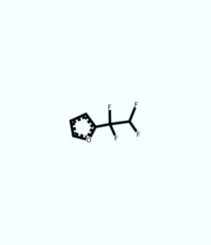 FC(F)C(F)(F)c1ccco1